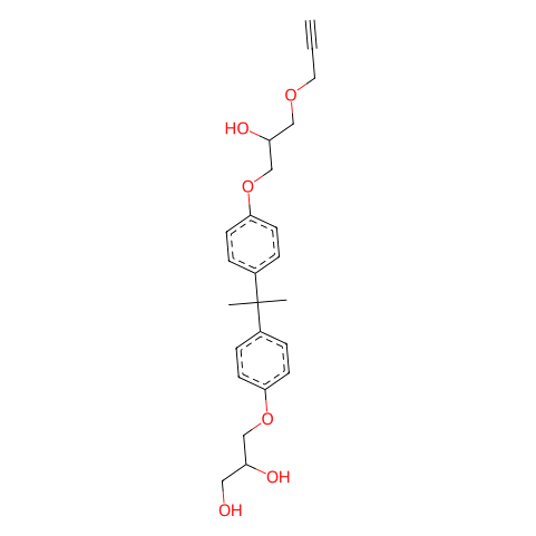 C#CCOCC(O)COc1ccc(C(C)(C)c2ccc(OCC(O)CO)cc2)cc1